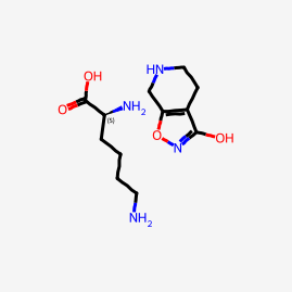 NCCCC[C@H](N)C(=O)O.Oc1noc2c1CCNC2